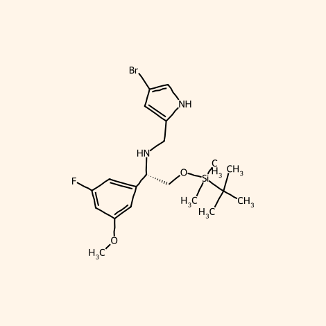 COc1cc(F)cc([C@@H](CO[Si](C)(C)C(C)(C)C)NCc2cc(Br)c[nH]2)c1